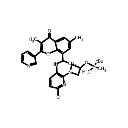 Cc1cc(C(C)Nc2ccc(Cl)nc2N2CC(O[Si](C)(C)C(C)(C)C)C2)c2oc(-c3cccnc3)c(C)c(=O)c2c1